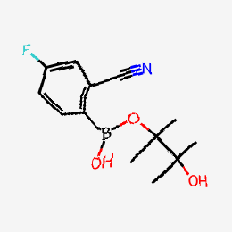 CC(C)(O)C(C)(C)OB(O)c1ccc(F)cc1C#N